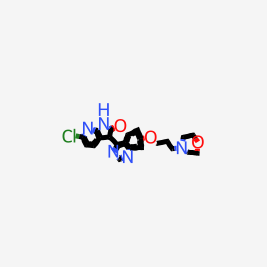 O=C1Nc2nc(Cl)ccc2C1c1ncnc2cc(OCCCN3CCOCC3)ccc12